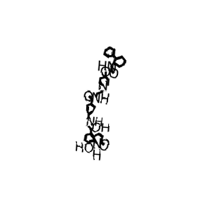 O=C(Nc1ccccc1-c1ccccc1)OC1CCN(CCNC(=O)c2ccc(CNCC(O)c3ccc(O)c4[nH]c(=O)ccc34)cc2)CC1